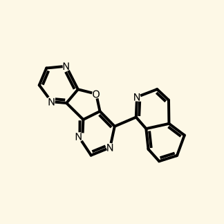 c1ccc2c(-c3ncnc4c3oc3nccnc34)nccc2c1